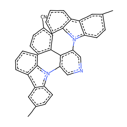 Cc1ccc2c(c1)c1ccccc1n2-c1cncc(-n2c3ccccc3c3cc(C)ccc32)c1-c1cccc(C#N)c1